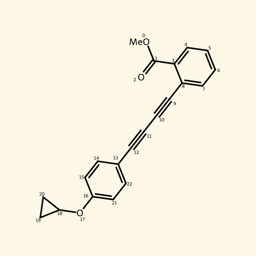 COC(=O)c1ccccc1C#CC#Cc1ccc(OC2CC2)cc1